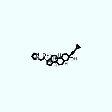 C[C@]12CC[C@H]3[C@@H](CC[C@H]4C[C@@](O)(C#CC5CC5)CC[C@@H]43)[C@@H]1CC[C@@H]2C(=O)Cn1cccn1